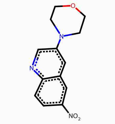 O=[N+]([O-])c1ccc2ncc(N3CCOCC3)cc2c1